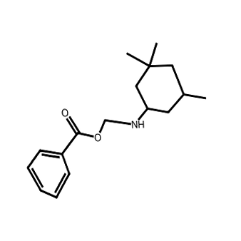 CC1CC(NCOC(=O)c2ccccc2)CC(C)(C)C1